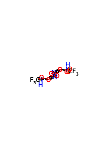 CN1C(=O)C2=C(c3ccc(OCCCCC(=O)NS(=O)(=O)C(F)(F)F)cc3)N(C)C(=O)C2=C1c1ccc(OCCCCC(=O)NSC(F)(F)F)cc1